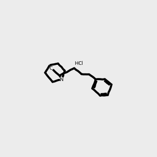 Cl.c1ccc(CCCC2CC3CCN2CC3)cc1